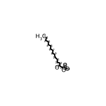 CCCCCCCCCCCCCCC(=O)C1OS1(=O)=O